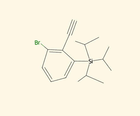 C#Cc1c(Br)cccc1[Si](C(C)C)(C(C)C)C(C)C